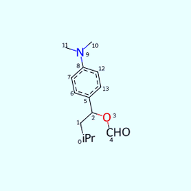 CC(C)CC(OC=O)c1ccc(N(C)C)cc1